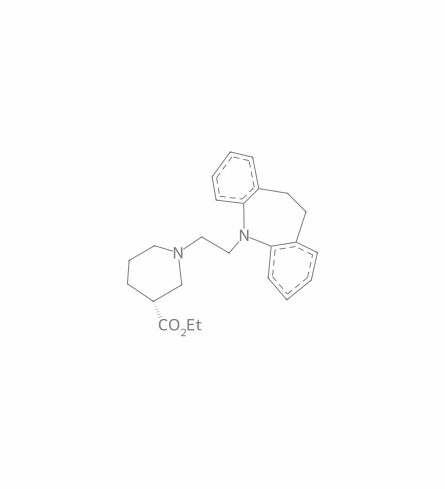 CCOC(=O)[C@@H]1CCCN(CCN2c3ccccc3CCc3ccccc32)C1